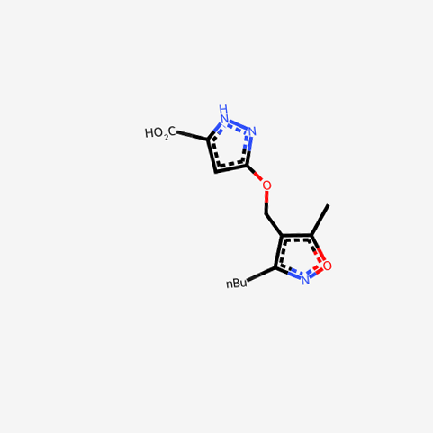 CCCCc1noc(C)c1COc1cc(C(=O)O)[nH]n1